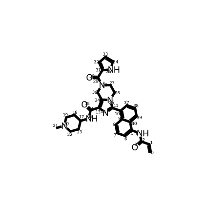 C=CC(=O)Nc1cccc2c(-c3nc(C(=O)NC4CCN(C)CC4)c4n3CCN(C(=O)c3ccc[nH]3)C4)cccc12